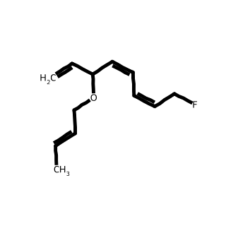 C=CC(/C=C\C=C/CF)OC/C=C/C